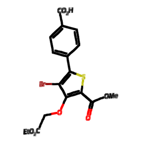 CCOC(=O)COc1c(C(=O)OC)sc(-c2ccc(C(=O)O)cc2)c1Br